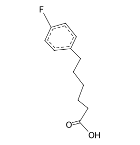 O=C(O)CCCCCc1ccc(F)cc1